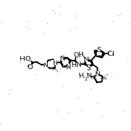 C[C@@H]1CN(CCC(=O)O)CCN1c1cnc(C(O)Nc2nc(-c3csc(Cl)c3)c(CN3[C@H](C)CC[C@H]3N)s2)cn1